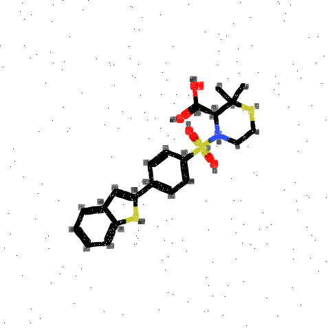 CC1(C)SCCN(S(=O)(=O)c2ccc(-c3cc4ccccc4s3)cc2)[C@H]1C(=O)O